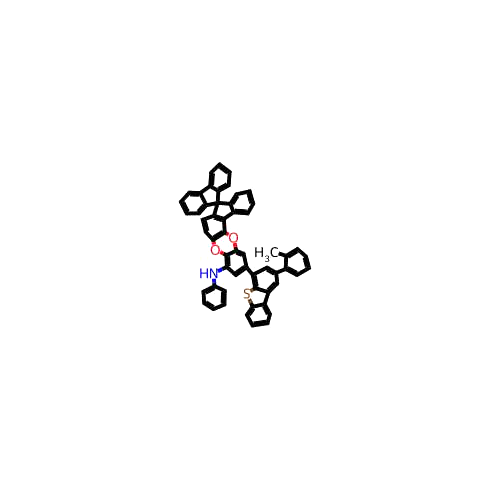 Cc1ccccc1-c1cc(-c2cc(Nc3ccccc3)c3c(c2)Oc2c(ccc4c2-c2ccccc2C42c4ccccc4-c4ccccc42)O3)c2sc3ccccc3c2c1